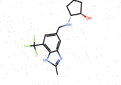 Cc1nc2cc(CN[C@@H]3CCC[C@H]3O)cc(C(F)(F)F)c2[nH]1